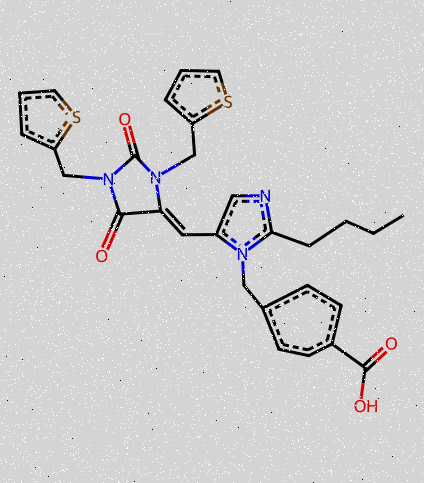 CCCCc1ncc(/C=C2/C(=O)N(Cc3cccs3)C(=O)N2Cc2cccs2)n1Cc1ccc(C(=O)O)cc1